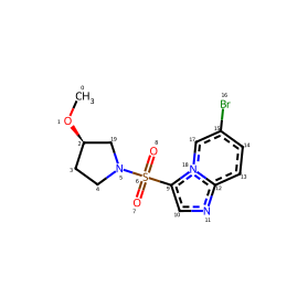 CO[C@@H]1CCN(S(=O)(=O)c2cnc3ccc(Br)cn23)C1